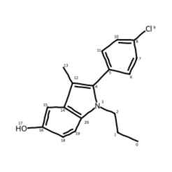 CCCn1c(-c2ccc(Cl)cc2)c(C)c2cc(O)ccc21